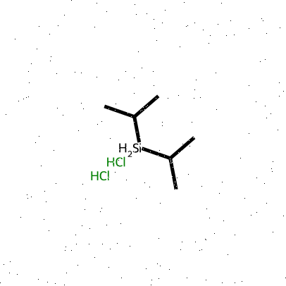 CC(C)[SiH2]C(C)C.Cl.Cl